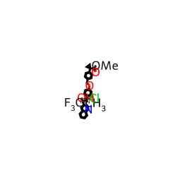 COC(=O)C1(c2ccc(COc3ccc([C@H](C)[C@](O)(c4cnc5ccccc5c4)C(F)(F)F)c(Cl)c3)cc2)CC1